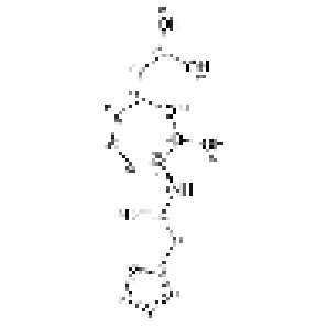 O=C(Cc1cccs1)N[C@H]1CC=CC(CC(O)O)OB1O